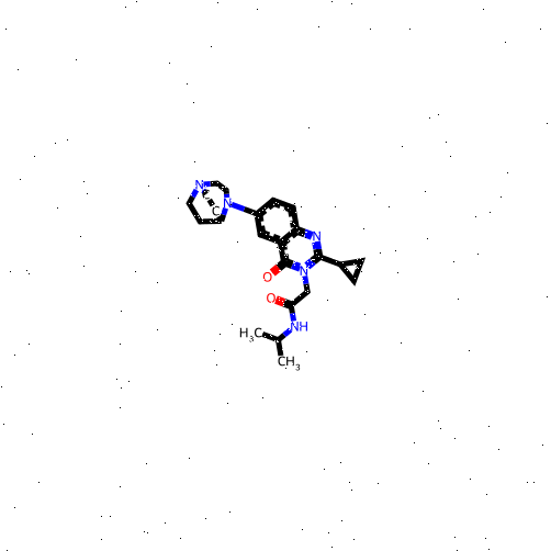 CC(C)NC(=O)Cn1c(C2CC2)nc2ccc(N3CCN4CCC3CC4)cc2c1=O